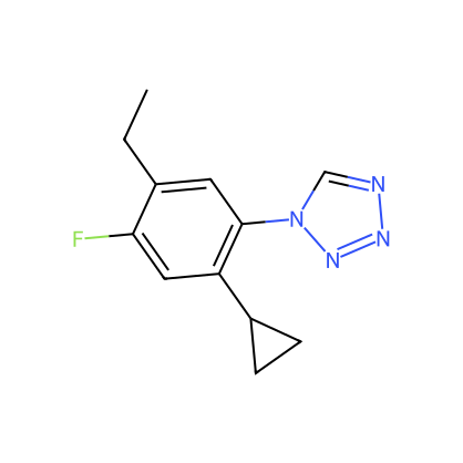 CCc1cc(-n2cnnn2)c(C2CC2)cc1F